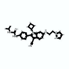 CC(C)NC(=O)Nc1ccc(-c2c(C#N)c3ccc(OCCn4cccn4)cc3n2C2CCC2)cc1